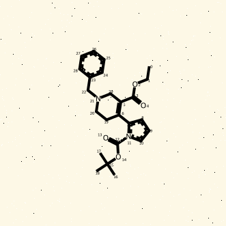 CCOC(=O)C1=C(c2cccn2C(=O)OC(C)(C)C)CCN(Cc2ccccc2)C1